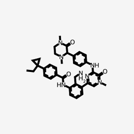 CCC1(c2ccc(C(=O)Nc3cccc(-c4cn(C)c(=O)c(Nc5ccc(C6C(=O)N(C)CCN6C)cc5)n4)c3CN)cc2)CC1